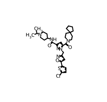 CC(C)N1CCC(NC(=O)c2cc(C(=O)N3CCC4(CCCC4)CC3)n(Cc3cc(-c4ccc(Cl)s4)on3)n2)CC1